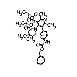 CCOC(=O)[C@@H](OC(C)(C)C)c1c(C)nc(C)c(-c2ccc(NC(=O)OCc3ccccc3)cc2)c1N1CCC(C)(C)CC1